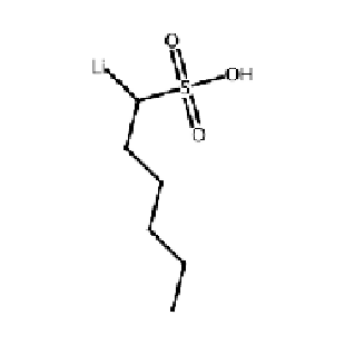 [Li][CH](CCCCC)S(=O)(=O)O